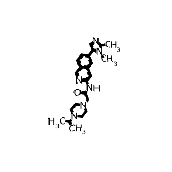 Cc1ncc(-c2ccc3cnc(NC(=O)CN4CCN(C(C)C)CC4)cc3c2)n1C